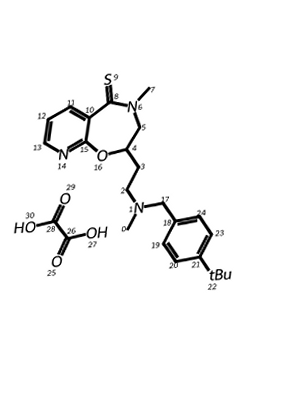 CN(CCC1CN(C)C(=S)c2cccnc2O1)Cc1ccc(C(C)(C)C)cc1.O=C(O)C(=O)O